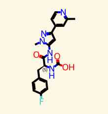 Cc1cc(-c2cc(NC(=O)[C@H](Cc3ccc(F)cc3)NC(=O)O)n(C)n2)ccn1